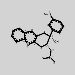 COc1cccc([C@]2(O)Cc3cc4ccccc4nc3C[C@H]2CN(C)C)c1